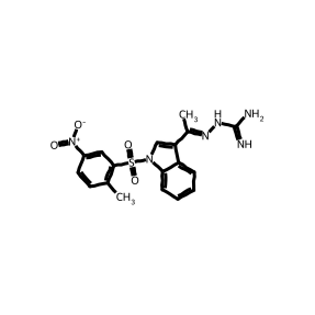 CC(=NNC(=N)N)c1cn(S(=O)(=O)c2cc([N+](=O)[O-])ccc2C)c2ccccc12